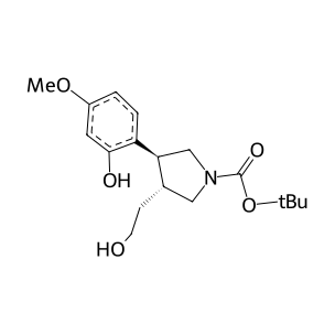 COc1ccc([C@H]2CN(C(=O)OC(C)(C)C)C[C@@H]2CCO)c(O)c1